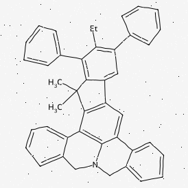 CCc1c(-c2ccccc2)cc2c(c1-c1ccccc1)C(C)(C)c1c-2cc2c3c1-c1ccccc1CN3Cc1ccccc1-2